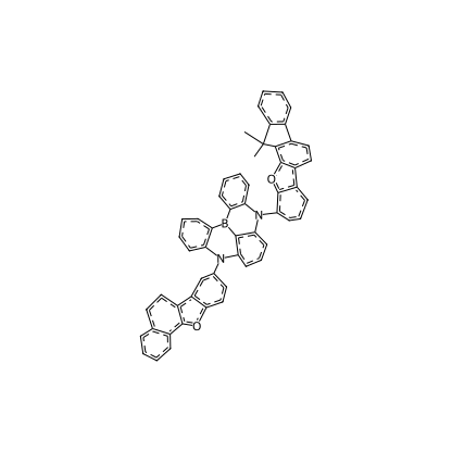 CC1(C)c2ccccc2-c2ccc3c(oc4c(N5c6ccccc6B6c7ccccc7N(c7ccc8oc9c%10ccccc%10ccc9c8c7)c7cccc5c76)cccc43)c21